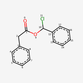 O=C(Cc1ccccc1)OC(Cl)c1ccccc1